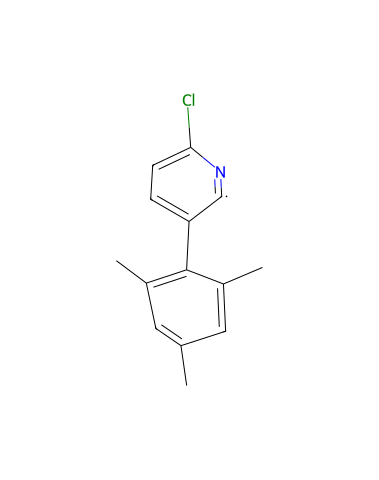 Cc1cc(C)c(-c2[c]nc(Cl)cc2)c(C)c1